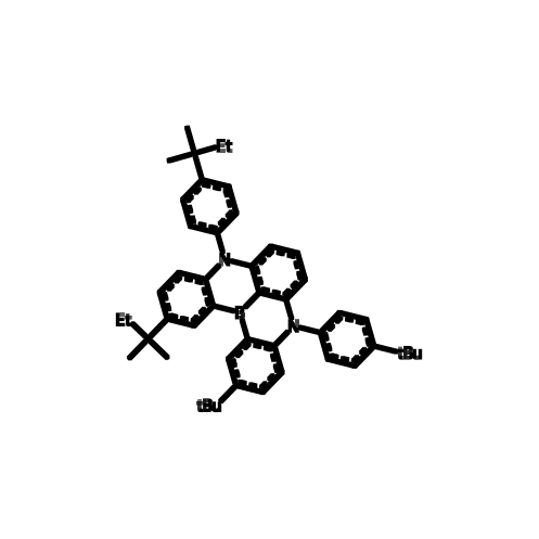 CCC(C)(C)c1ccc(N2c3ccc(C(C)(C)CC)cc3B3c4cc(C(C)(C)C)ccc4N(c4ccc(C(C)(C)C)cc4)c4cccc2c43)cc1